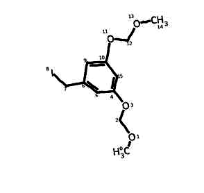 COCOc1cc(CI)cc(OCOC)c1